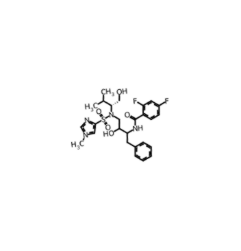 CC(C)[C@H](CO)N(CC(O)C(Cc1ccccc1)NC(=O)c1ccc(F)cc1F)S(=O)(=O)c1cn(C)cn1